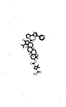 CC(C)C1=C2[C@H]3CC[C@@H]4[C@@]5(C)CC[C@H](OC(=O)[C@H]6C[C@@H](C(=O)O)C6(C)C)C(C)(C)[C@@H]5CC[C@@]4(C)[C@]3(C)CC[C@@]2(C(=O)N2CCCC2c2ncc(-c3cccnc3)[nH]2)CC1=O